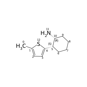 Cc1ccc([C@H]2CCCC[C@H]2N)s1